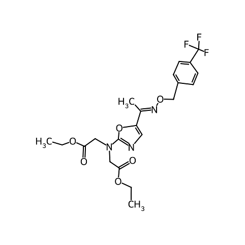 CCOC(=O)CN(CC(=O)OCC)c1ncc(/C(C)=N/OCc2ccc(C(F)(F)F)cc2)o1